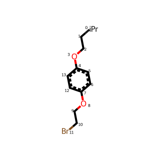 CC(C)CCOc1ccc(OCCBr)cc1